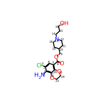 Nc1c(Cl)cc(C(=O)OCC2CCN(CCCO)CC2)c2c1OCCO2